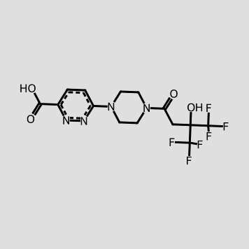 O=C(O)c1ccc(N2CCN(C(=O)CC(O)(C(F)(F)F)C(F)(F)F)CC2)nn1